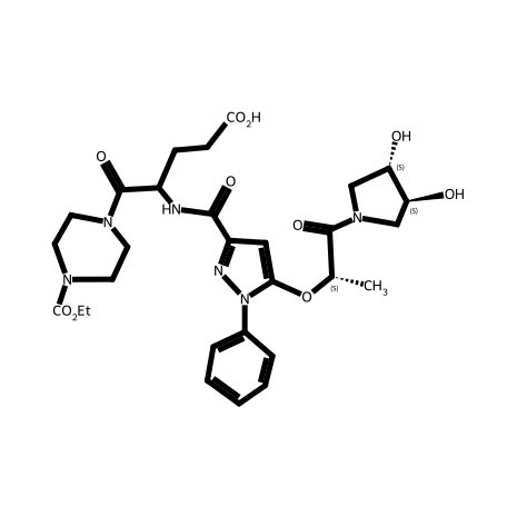 CCOC(=O)N1CCN(C(=O)C(CCC(=O)O)NC(=O)c2cc(O[C@@H](C)C(=O)N3C[C@H](O)[C@@H](O)C3)n(-c3ccccc3)n2)CC1